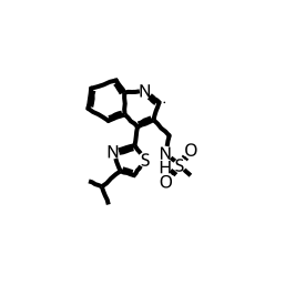 CC(C)c1csc(-c2c(CNS(C)(=O)=O)[c]nc3ccccc23)n1